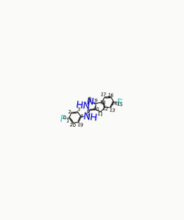 Fc1ccc(Nc2[nH]nc3c2Cc2cc(F)ccc2-3)cc1